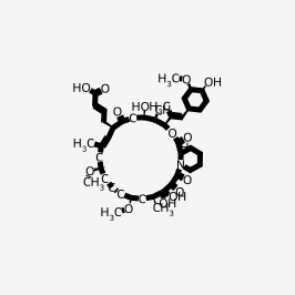 CO[C@@H]1CCC[C@@H](OC)C[C@@H](C)C(O)(O)C(=O)C(=O)N2CCCC[C@H]2C(=O)O[C@H](/C(C)=C/[C@@H]2CC[C@@H](O)[C@H](OC)C2)[C@H](C)[C@@H](O)CC(=O)[C@H](C/C=C/C(=O)O)/C=C(\C)C1